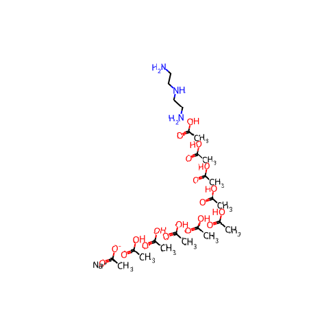 CC(=O)O.CC(=O)O.CC(=O)O.CC(=O)O.CC(=O)O.CC(=O)O.CC(=O)O.CC(=O)O.CC(=O)O.CC(=O)[O-].NCCNCCN.[Na+]